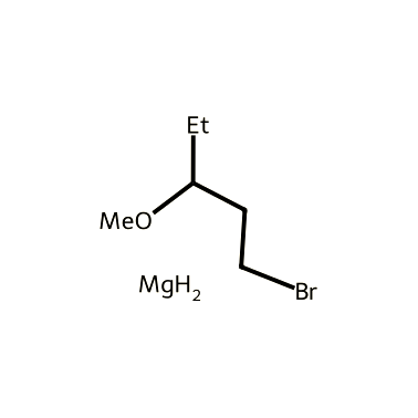 CCC(CCBr)OC.[MgH2]